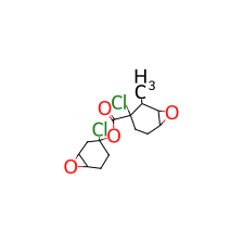 CC1C2OC2CCC1(Cl)C(=O)OC1(Cl)CCC2OC2C1